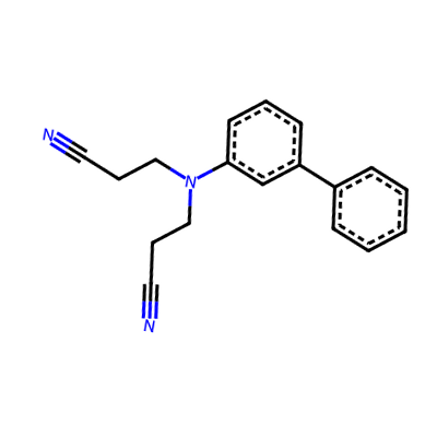 N#CCCN(CCC#N)c1cccc(-c2ccccc2)c1